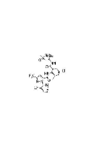 CCCCC(CS(C)(=N)=O)NC(=O)c1cc(Cl)cc(C)c1NC(=O)c1cc(C(F)(F)F)nn1-c1ncccc1Cl